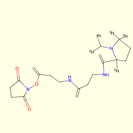 [2H]C(C(C)C)N1C([2H])([2H])CCC1([2H])C(=C)NCCC(=C)NCCC(=C)ON1C(=O)CCC1=O